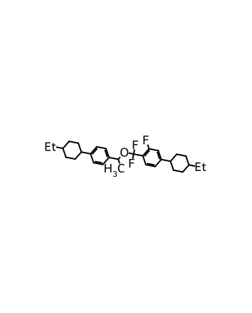 CCC1CCC(c2ccc(C(C)OC(F)(F)c3ccc(C4CCC(CC)CC4)cc3F)cc2)CC1